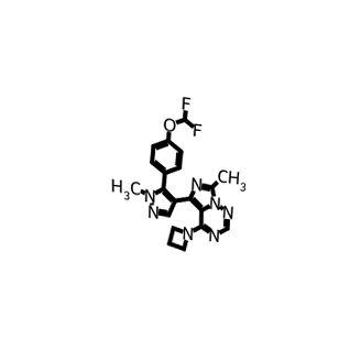 Cc1nc(-c2cnn(C)c2-c2ccc(OC(F)F)cc2)c2c(N3CCC3)ncnn12